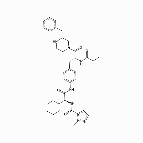 CCC(=O)N[C@H](Cc1ccc(NC(=O)[C@@H](NC(=O)c2ccnn2C)C2CCCCC2)cc1)C(=O)N1CCN[C@H](Cc2ccccc2)C1